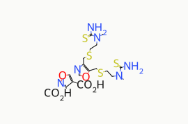 CN(CCSCc1ncoc1CSCCN(C)C(N)=S)C(N)=S.O=C(O)c1conc1C(=O)O